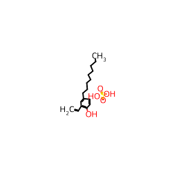 C=Cc1cc(CCCCCCCCC)ccc1O.O=S(=O)(O)O